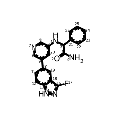 NC(=O)C(Nc1cncc(-c2ccc3[nH]nc(F)c3c2)c1)c1ccccc1